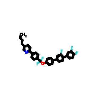 C=CCCc1ccc(-c2ccc(C(F)(F)Oc3ccc(-c4ccc(-c5ccc(F)c(F)c5)c(F)c4)cc3)cc2)nc1